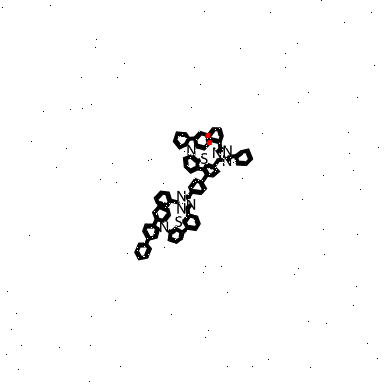 C1=CC2c3ccccc3N(c3cccc4c3sc3c(-c5nc(-c6ccccc6)nc(-c6ccccc6)n5)ccc(-c5ccc(-c6nc(-c7ccccc7)nc(-c7cccc8c7sc7c(-n9c%10ccccc%10c%10ccc(-c%11ccccc%11)cc%109)cccc78)n6)cc5)c34)C2C=C1